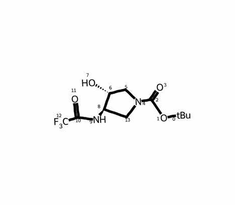 CC(C)(C)OC(=O)N1C[C@@H](O)[C@H](NC(=O)C(F)(F)F)C1